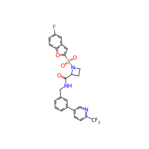 O=C(NCc1cccc(-c2ccc(C(F)(F)F)nc2)c1)C1CCN1S(=O)(=O)c1cc2cc(F)ccc2o1